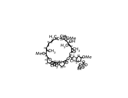 CCOP(=O)(OCC)O[C@@H]1CC[C@@H](C[C@@H](C)[C@@H]2CC(=O)[C@H](C)/C=C(\C)[C@@H](O)[C@@H](OC)C(=O)[C@H](C)C[C@H](C)/C=C/C=C/C=C(\C)[C@@H](OC)CC3CC[C@@H](C)[C@@](O)(O3)C(=O)C(=O)N3CCCCC3C(=O)O2)C[C@H]1OC